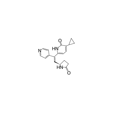 O=C1CC[C@H](C=C(c2ccncc2)c2ccc(C3CC3)c(=O)[nH]2)N1